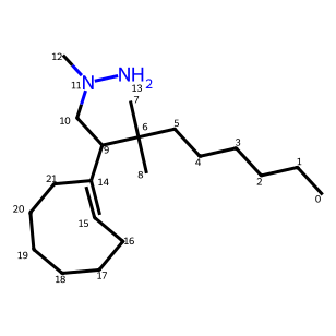 CCCCCCC(C)(C)C(CN(C)N)/C1=C\CCCCCC1